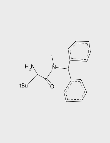 CN(C(=O)C(N)C(C)(C)C)C(c1ccccc1)c1ccccc1